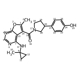 Cc1oc2ncnc(NC3(C)CC3)c2c1C(=O)N1CCC(c2ccc(O)cc2)C1